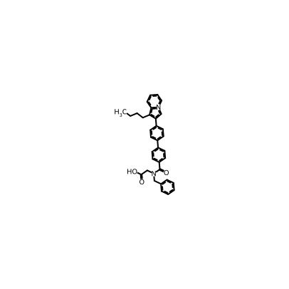 CCCCc1c(-c2ccc(-c3ccc(C(=O)N(CC(=O)O)Cc4ccccc4)cc3)cc2)cn2ccccc12